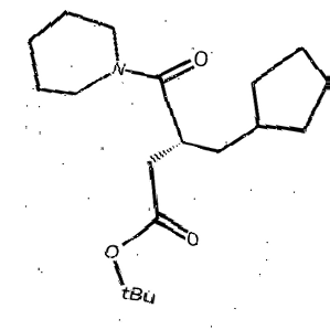 CC(C)(C)OC(=O)C[C@@H](CC1CCCC1)C(=O)N1CCCCC1